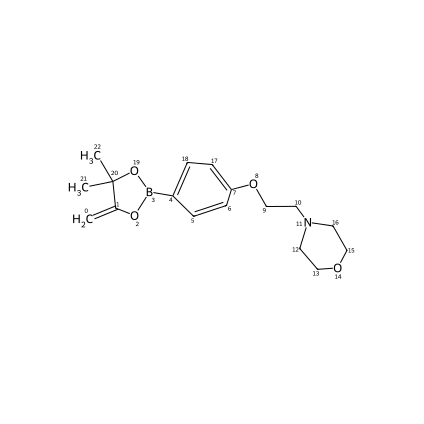 C=C1OB(c2ccc(OCCN3CCOCC3)cc2)OC1(C)C